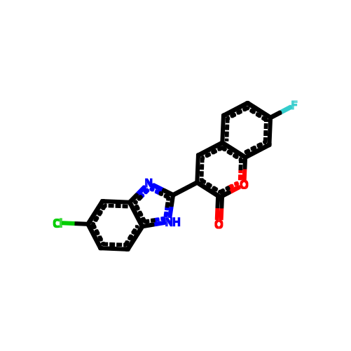 O=c1oc2cc(F)ccc2cc1-c1nc2cc(Cl)ccc2[nH]1